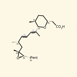 CCC[C@@H](C)[C@H]1O[C@]1(C)C[C@H](C)/C=C/C=C(\C)[C@H]1O[C@@H](CC(=O)O)CC[C@@H]1C